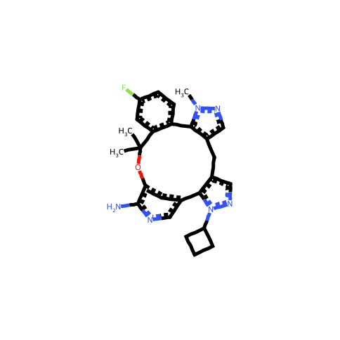 Cn1ncc2c1-c1ccc(F)cc1C(C)(C)Oc1cc(cnc1N)-c1c(cnn1C1CCC1)C2